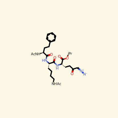 CC(=O)NCCCC[C@H](NC(=O)[C@H](CCc1ccccc1)NC(C)=O)C(=O)N[C@@H](CCC(=O)C=[N+]=[N-])C(=O)OC(C)C